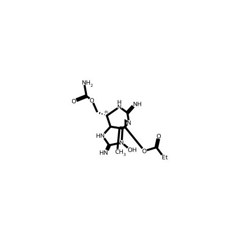 CCC(=O)OC1CN2C(=N)N[C@@H](COC(N)=O)C3NC(=N)N(O)C32C1C